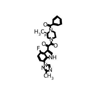 Cc1ncn(-c2ccc(F)c3c(C(=O)C(=O)N4CCN(C(=O)c5ccccc5)[C@H](C)C4)c[nH]c23)n1